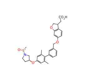 Cc1cc(O[C@H]2CCN([S+](C)[O-])C2)cc(C)c1-c1cccc(COc2ccc3c(c2)OCC3CC(=O)O)c1